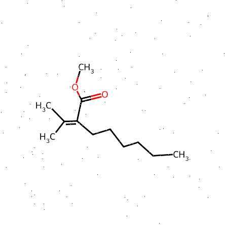 CCCCCCC(C(=O)OC)=C(C)C